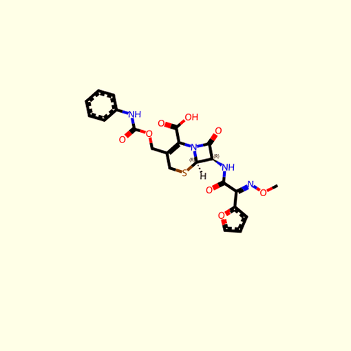 CON=C(C(=O)N[C@@H]1C(=O)N2C(C(=O)O)=C(COC(=O)Nc3ccccc3)CS[C@H]12)c1ccco1